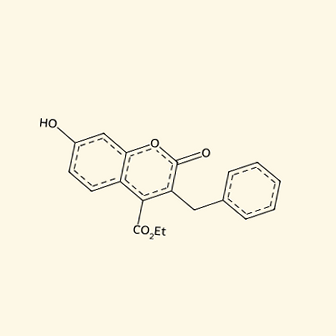 CCOC(=O)c1c(Cc2ccccc2)c(=O)oc2cc(O)ccc12